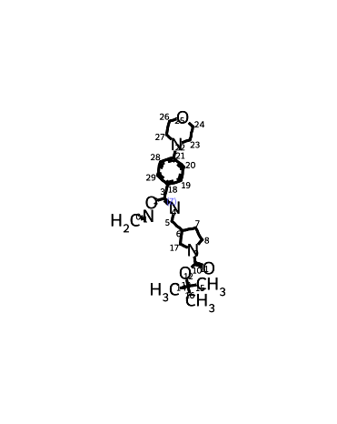 C=NO/C(=N\CC1CCN(C(=O)OC(C)(C)C)C1)c1ccc(N2CCOCC2)cc1